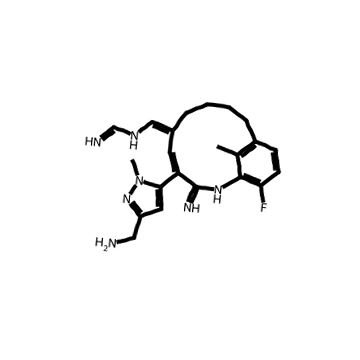 Cc1c2ccc(F)c1NC(=N)/C(c1cc(CN)nn1C)=C\C(=C/NC=N)CCCC2